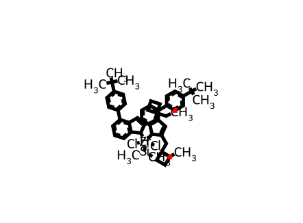 CCC1(CC2=Cc3c(-c4ccc(C(C)(C)C)cc4)cccc3[CH]2[Zr]([Cl])([Cl])([CH]2C(CC3(CC)CCC3)=Cc3c(-c4ccc(C(C)(C)C)cc4)cccc32)[SiH](C)C)CCC1